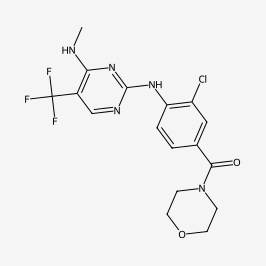 CNc1nc(Nc2ccc(C(=O)N3CCOCC3)cc2Cl)ncc1C(F)(F)F